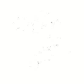 CC1(C)c2ccccc2-c2cc3c4ccccc4n(-c4nc(-c5cc6oc7ccccc7c6c6ccccc56)c5ccccc5n4)c3cc21